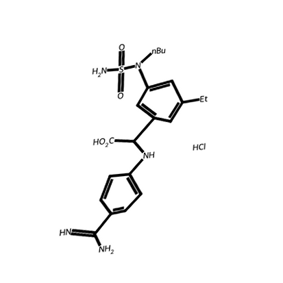 CCCCN(c1cc(CC)cc(C(Nc2ccc(C(=N)N)cc2)C(=O)O)c1)S(N)(=O)=O.Cl